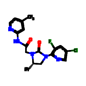 CC(C)[C@H]1CN(c2ncc(Cl)cc2F)C(=O)N1CC(=O)Nc1cc(C(F)(F)F)ccn1